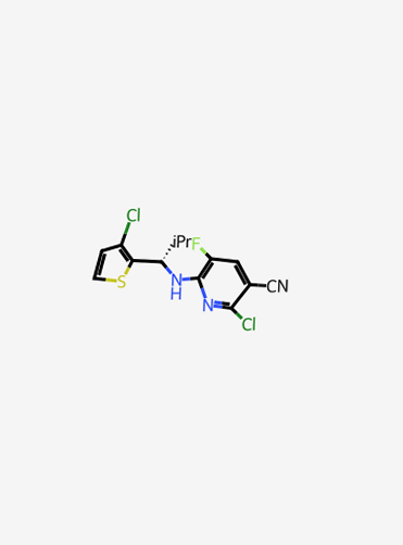 CC(C)[C@H](Nc1nc(Cl)c(C#N)cc1F)c1sccc1Cl